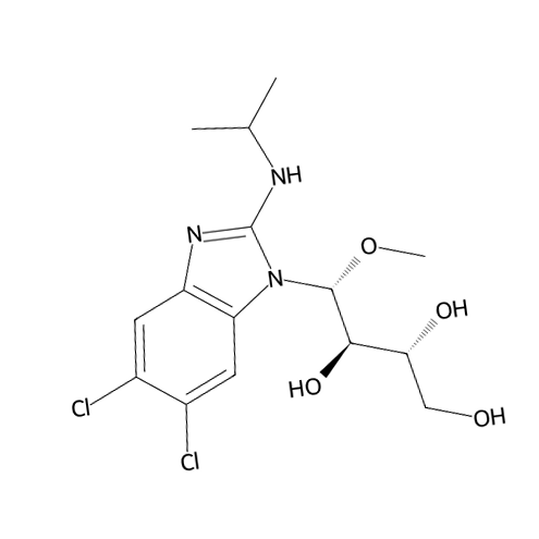 CO[C@H]([C@H](O)[C@H](O)CO)n1c(NC(C)C)nc2cc(Cl)c(Cl)cc21